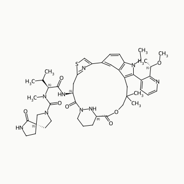 CCn1c(-c2cccnc2[C@H](C)OC)c2c3cc(ccc31)-c1csc(n1)C[C@H](NC(=O)[C@H](C(C)C)N(C)C(=O)N1CC[C@@]3(CCNC3=O)C1)C(=O)N1CCC[C@](C=O)(COCC(C)(C)C2)N1